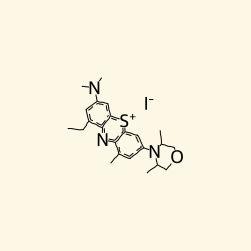 CCc1cc(N(C)C)cc2[s+]c3cc(N4C(C)COCC4C)cc(C)c3nc12.[I-]